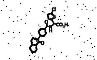 O=C(NC(C(=O)O)c1ccc(Cl)s1)c1ccc(-n2ccc3ccccc3c2=O)cc1